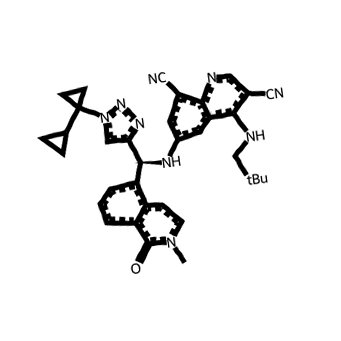 Cn1ccc2c([C@H](Nc3cc(C#N)c4ncc(C#N)c(NCC(C)(C)C)c4c3)c3cn(C4(C5CC5)CC4)nn3)cccc2c1=O